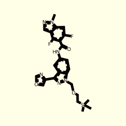 Cn1ncc2c(F)c(C(=O)Nc3ccc4c(c3)c(-c3cocn3)nn4COCC[Si](C)(C)C)c(F)cc21